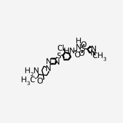 C[C@@H]1OCC2(CCN(c3cnc(Sc4cccc(NC(=O)NS(=O)(=O)c5cnn(C)c5)c4Cl)cn3)CC2)[C@@H]1N